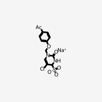 CC(=O)c1ccc(OCN2C=C(Cl)C(S(=O)(=O)[O-])NC2=O)cc1.[Na+]